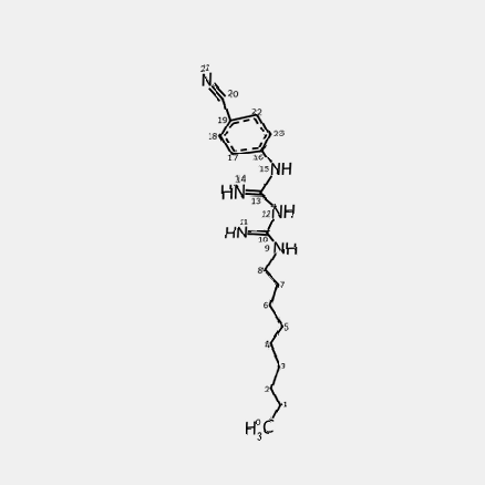 CCCCCCCCCNC(=N)NC(=N)Nc1ccc(C#N)cc1